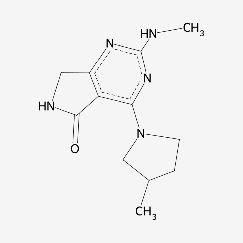 CNc1nc2c(c(N3CCC(C)C3)n1)C(=O)NC2